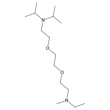 CCN(C)CCOCCOCCN(C(C)C)C(C)C